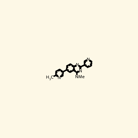 CNc1nc(-c2cccnc2)nc2ccc(-c3ccc(C)nc3)cc12